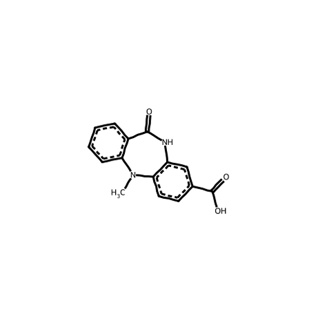 CN1c2ccc(C(=O)O)cc2NC(=O)c2ccccc21